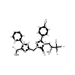 C[C@@H](O)c1nc(Cn2nc(-c3ccc(Cl)cc3)n(C[C@H](O)C(F)(F)F)c2=O)nn1-c1ccccn1